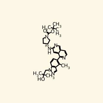 Cc1c(-c2nccc3cnc(N[C@@H]4CCN(C(=O)OC(C)(C)C)C4)cc23)ccc2c1cnn2CC(C)(C)O